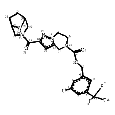 O=C(OCc1cc(Cl)cc(C(F)(F)F)c1)N1CCn2nc(C(=O)N3CC4CCC(C3)N4)cc2C1